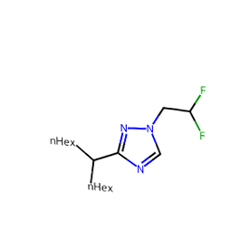 CCCCCCC(CCCCCC)c1ncn(CC(F)F)n1